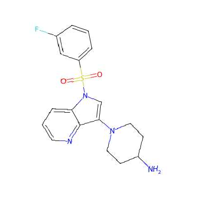 NC1CCN(c2cn(S(=O)(=O)c3cccc(F)c3)c3cccnc23)CC1